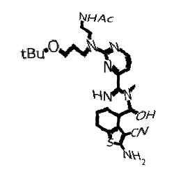 CC(=O)NCCN(CCCOC(C)(C)C)c1nccc(C(=N)N(C)C(O)C2CCCc3sc(N)c(C#N)c32)n1